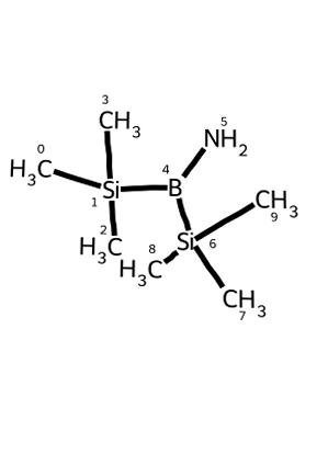 C[Si](C)(C)B(N)[Si](C)(C)C